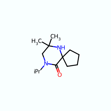 CC(C)N1CC(C)(C)NC2(CCCC2)C1=O